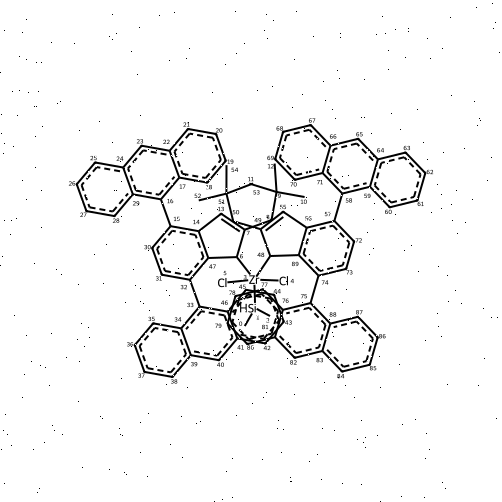 C[SiH](C)[Zr]([Cl])([Cl])([CH]1C(CC(C)(C)C)=Cc2c(-c3c4ccccc4cc4ccccc34)ccc(-c3c4ccccc4cc4ccccc34)c21)[CH]1C(CC(C)(C)C)=Cc2c(-c3c4ccccc4cc4ccccc34)ccc(-c3c4ccccc4cc4ccccc34)c21